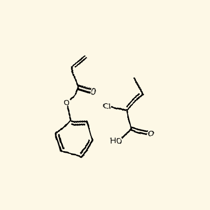 C=CC(=O)Oc1ccccc1.CC=C(Cl)C(=O)O